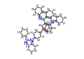 c1ccc(-c2nc3ccccc3n2-c2ccc(-c3cccc(-c4nc5ccccc5c5ccc6c7ccccc7n(-c7ccccc7)c6c45)c3)cc2)cc1